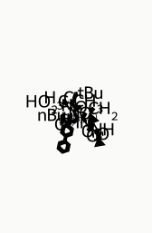 C=C[C@@H]1C[C@]1(NC(=O)[C@@H]1C[C@](c2ccc(-c3ccccc3)cc2)([S+]([O-])CCCC)CN1C(=O)[C@@H](NC(=O)O)C(C)(C)CC(C)(C)C)C(=O)NS(=O)(=O)C1CC1